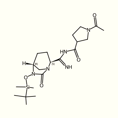 CC(=O)N1CCC(C(=O)NC(=N)[C@@H]2CC[C@@H]3CN2C(=O)N3O[Si](C)(C)C(C)(C)C)C1